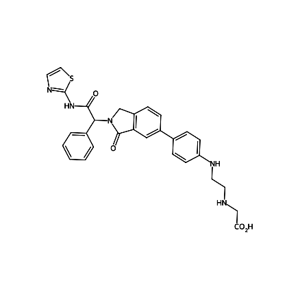 O=C(O)CNCCNc1ccc(-c2ccc3c(c2)C(=O)N(C(C(=O)Nc2nccs2)c2ccccc2)C3)cc1